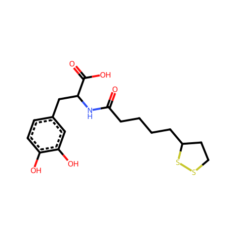 O=C(CCCCC1CCSS1)NC(Cc1ccc(O)c(O)c1)C(=O)O